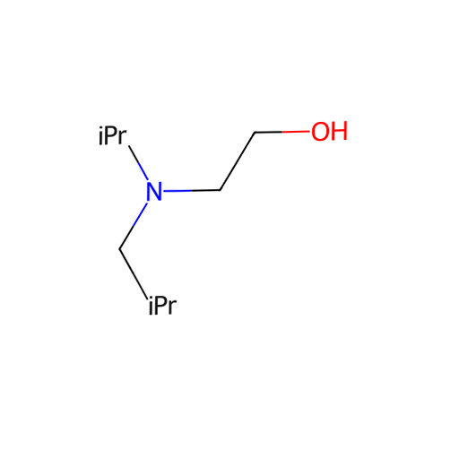 CC(C)CN(CCO)C(C)C